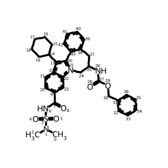 CN(C)S(=O)(=O)NC(=O)c1ccc2c(C3CCCCC3)c3n(c2c1)CC(NC(=O)OCc1ccccc1)Cc1ccccc1-3